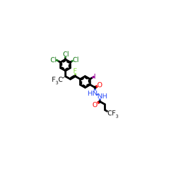 O=C(CCC(F)(F)F)NNC(=O)c1ccc(/C(F)=C/[C@@H](c2cc(Cl)c(Cl)c(Cl)c2)C(F)(F)F)cc1I